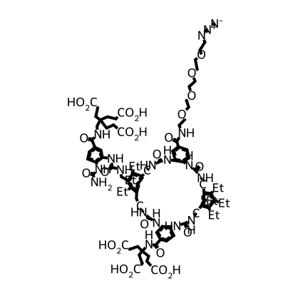 CCc1c(CC)c2c(CC)c(c1CC)CNC(=O)Nc1ccc(C(=O)NCCOCCOCCOCCOCCN=[N+]=[N-])cc1NC(=O)NCc1c(CC)c(c(CC)c(CNC(=O)Nc3cc(C(=O)NCC(CCC(=O)O)(CCC(=O)O)CCC(=O)O)ccc3NC(N)=O)c1CC)CCNC(=O)Nc1cc(C(=O)NC(CCC(=O)O)(CCC(=O)O)CCC(=O)O)ccc1NC(=O)NC2